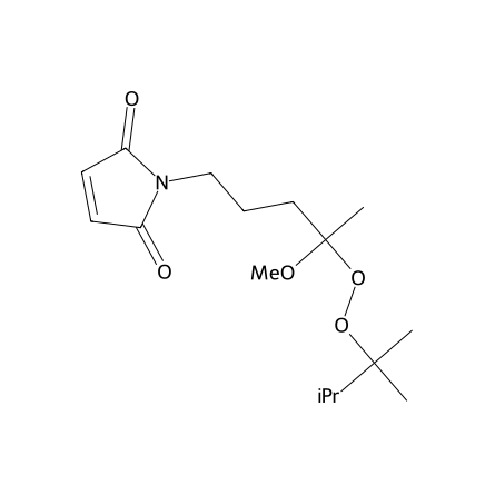 COC(C)(CCCN1C(=O)C=CC1=O)OOC(C)(C)C(C)C